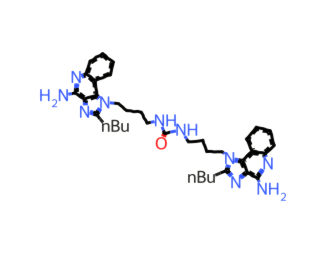 CCCCc1nc2c(N)nc3ccccc3c2n1CCCCNC(=O)NCCCCn1c(CCCC)nc2c(N)nc3ccccc3c21